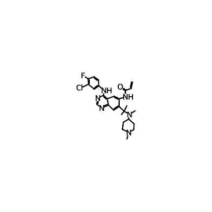 C=CC(=O)Nc1cc2c(Nc3ccc(F)c(Cl)c3)ncnc2cc1C(C)(C)N(C)C1CCN(C)CC1